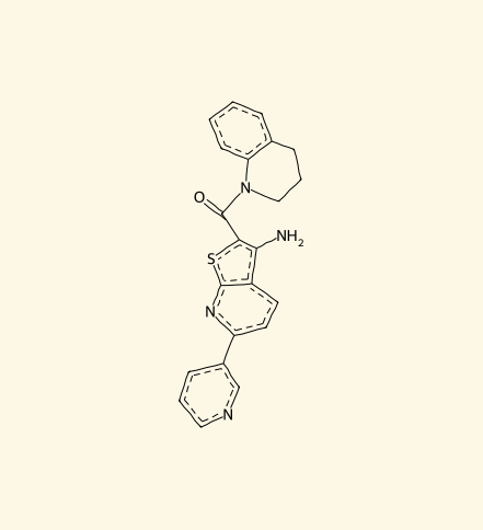 Nc1c(C(=O)N2CCCc3ccccc32)sc2nc(-c3cccnc3)ccc12